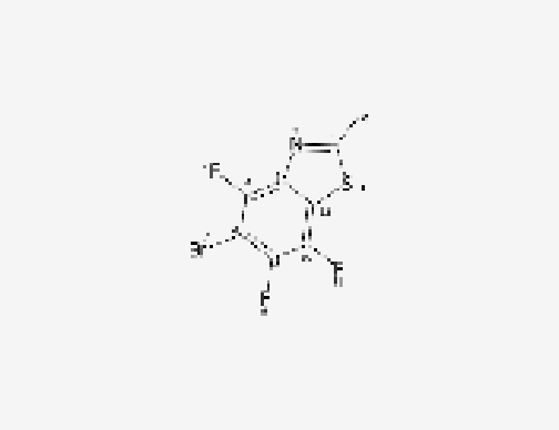 Cc1nc2c(F)c(Br)c(F)c(F)c2s1